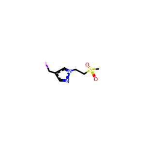 CS(=O)(=O)CCn1cc(CI)cn1